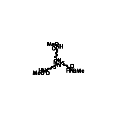 CONC(=O)CCCSc1nc(SCCCC(=O)NOC)nc(SCCCC(=O)NOC)n1